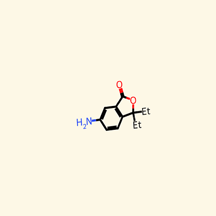 CCC1(CC)OC(=O)c2cc(N)ccc21